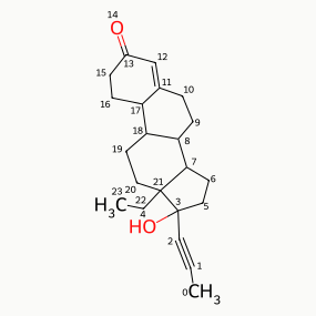 CC#CC1(O)CCC2C3CCC4=CC(=O)CCC4C3CCC21CC